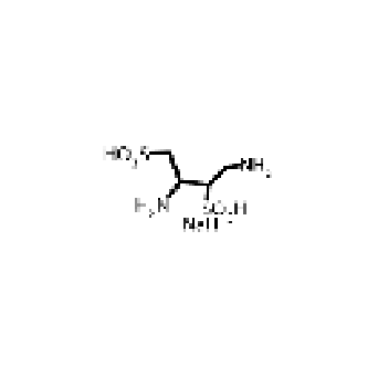 NCC(C(N)CS(=O)(=O)O)S(=O)(=O)O.[NaH]